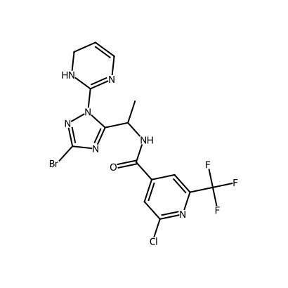 CC(NC(=O)c1cc(Cl)nc(C(F)(F)F)c1)c1nc(Br)nn1C1=NC=CCN1